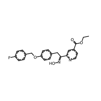 CCOC(=O)c1ccnc(/C(Cc2ccc(OCc3ccc(F)cc3)cc2)=N/O)c1